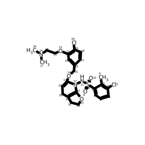 Cc1c(Cl)cccc1S(=O)(=O)NN1C(OCc2ccc(Cl)c(OCCN(C)C)c2)=CCC2=C1OCC2